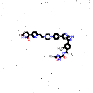 Cc1cc(-c2n[nH]c3ncc(-c4ccc(N5CCN(CCc6ccc(C7CCC(=O)NC7=O)cn6)CC5)cc4)cc23)ccc1C(C)NC(=O)c1noc(C(C)(C)C)n1